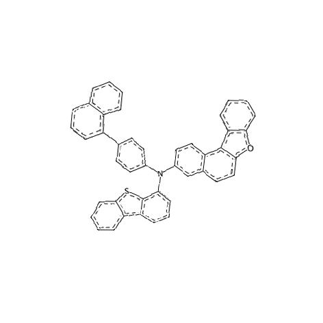 c1ccc2c(-c3ccc(N(c4ccc5c(ccc6oc7ccccc7c65)c4)c4cccc5c4sc4ccccc45)cc3)cccc2c1